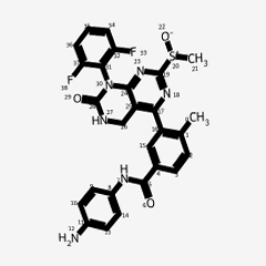 Cc1ccc(C(=O)Nc2ccc(N)cc2)cc1-c1nc([S+](C)[O-])nc2c1CNC(=O)N2c1c(F)cccc1F